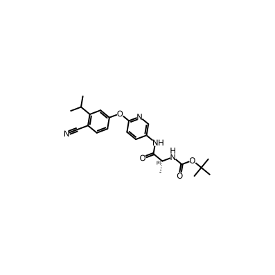 CC(C)c1cc(Oc2ccc(NC(=O)[C@@H](C)NC(=O)OC(C)(C)C)cn2)ccc1C#N